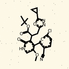 COc1c[nH]c(=O)c(C(Cc2nnc(C3CC3)o2)C(=O)OC(C)(C)C)c1-c1cc(Cl)ccc1C#N